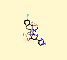 Cn1c(N2CCO[C@H]3c4cc(F)ccc4CC[C@@H]32)nc(-c2ccncn2)cc1=O